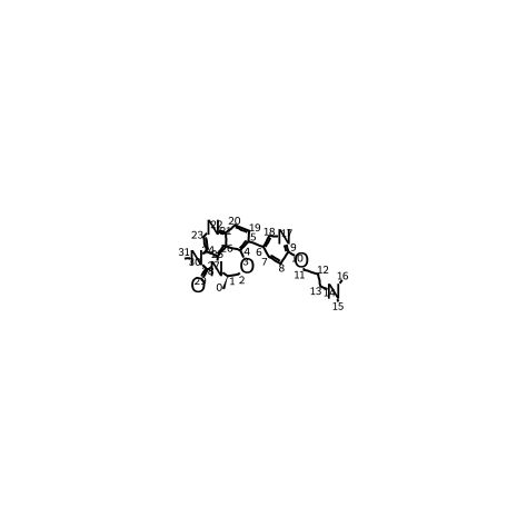 C[C@@H]1COc2c(-c3ccc(OCCCN(C)C)nc3)ccc3ncc4c(c23)n1c(=O)n4C